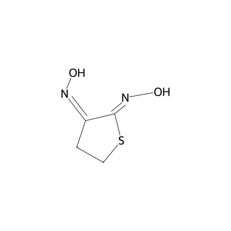 ON=C1CCSC1=NO